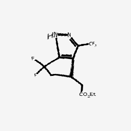 CCOC(=O)CC1CC(F)(F)c2[nH]nc(C(F)(F)F)c21